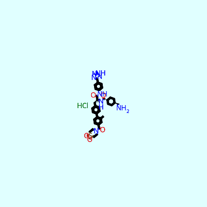 Cc1cc(C(=O)N2CCS(=O)(=O)CC2)ccc1-c1ccc(C[C@H](NC(=O)[C@H]2CC[C@H](CN)CC2)C(=O)Nc2ccc(-c3nn[nH]n3)cc2)cc1.Cl